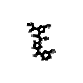 CNC(=O)C1CC(O)CN1C(=O)[C@@H](n1cc(C(=O)c2cccc(C(F)(F)F)c2)nn1)C(C)(C)C